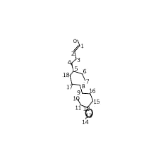 CC=CCC[C@H]1CC[C@H]([C@H]2CC[C@H](OC)CC2)CC1